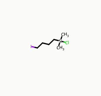 C[Si](C)(Cl)CCCCI